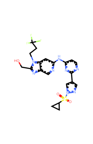 O=S(=O)(C1CC1)n1cc(-c2nccc(Nc3cc4c(cn3)nc(CO)n4CCC(F)(F)F)n2)cn1